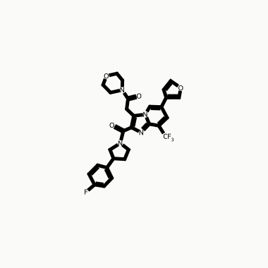 O=C(Cc1c(C(=O)N2CCC(c3ccc(F)cc3)C2)nc2c(C(F)(F)F)cc(-c3ccoc3)cn12)N1CCOCC1